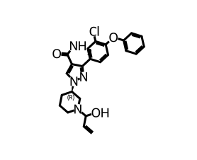 C=CC(O)N1CCC[C@@H](n2cc(C(N)=O)c(-c3ccc(Oc4ccccc4)c(Cl)c3)n2)C1